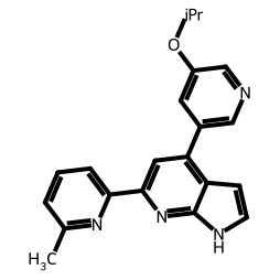 Cc1cccc(-c2cc(-c3cncc(OC(C)C)c3)c3cc[nH]c3n2)n1